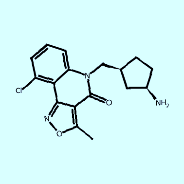 Cc1onc2c1c(=O)n(C[C@H]1CC[C@@H](N)C1)c1cccc(Cl)c21